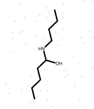 CCCCNC(O)CCCC